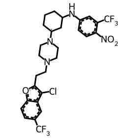 O=[N+]([O-])c1ccc(NC2CCC[C](N3CCN(CCc4oc5ccc(C(F)(F)F)cc5c4Cl)CC3)C2)cc1C(F)(F)F